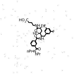 CCCN(CCC)C(=O)c1cccc(C(=O)NC(Cc2cc(F)cc(F)c2)C(O)CC(CC)C(=O)NCCCC(=O)O)c1